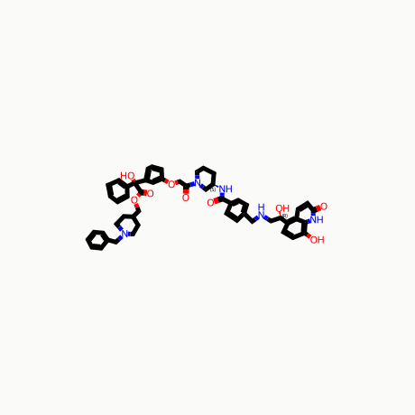 O=C(N[C@H]1CCCN(C(=O)COc2cccc(C(O)(C(=O)OCC3CCN(Cc4ccccc4)CC3)c3ccccc3)c2)C1)c1ccc(CNC[C@H](O)c2ccc(O)c3[nH]c(=O)ccc23)cc1